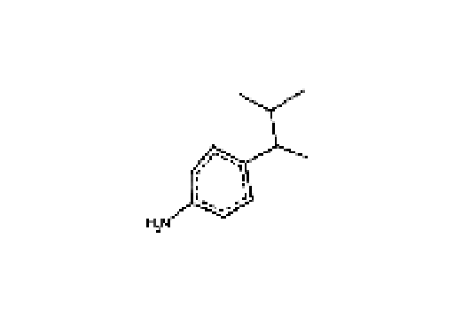 CC(C)C(C)c1ccc(N)cc1